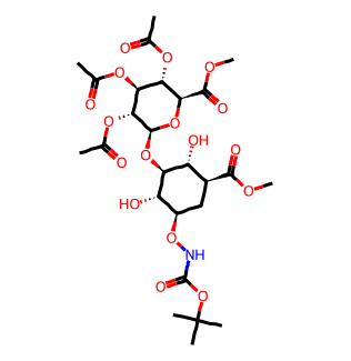 COC(=O)[C@H]1C[C@@H](ONC(=O)OC(C)(C)C)[C@H](O)[C@@H](O[C@@H]2O[C@H](C(=O)OC)[C@@H](OC(C)=O)[C@H](OC(C)=O)[C@H]2OC(C)=O)[C@@H]1O